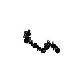 CC1(C)CCN(Cc2cc(F)c(N3CC(=O)NC4(CCN(c5cc(NCCCN6CCN(CCCNc7cccc8c7C(=O)N(C7CCC(=O)NC7=O)C8=O)CC6)ncn5)CC4)C3)cc2F)CC1